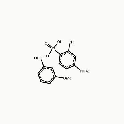 CC(=O)Nc1ccc([As](=O)(O)O)c(O)c1.COc1cccc(C=O)c1